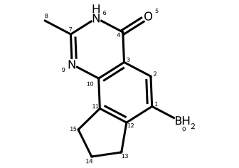 Bc1cc2c(=O)[nH]c(C)nc2c2c1CCC2